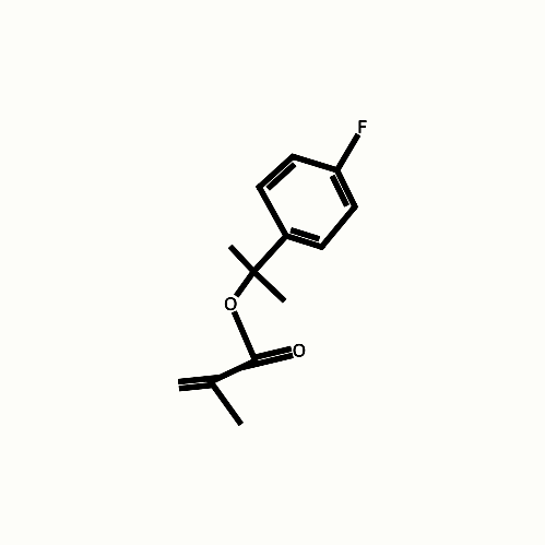 C=C(C)C(=O)OC(C)(C)c1ccc(F)cc1